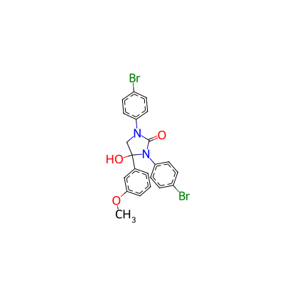 COc1cccc(C2(O)CN(c3ccc(Br)cc3)C(=O)N2c2ccc(Br)cc2)c1